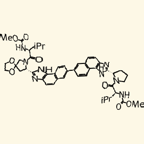 COC(=O)NC(C(=O)N1CC2(C[C@H]1c1nc3ccc4cc(-c5ccc6c(ccc7nc([C@@H]8CCCN8C(=O)[C@@H](NC(=O)OC)C(C)C)[nH]c76)c5)ccc4c3[nH]1)OCCO2)C(C)C